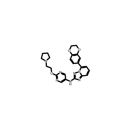 c1cc(-c2ccc3c(c2)OCCO3)n2nc(Nc3cnc(OCCN4CCCC4)nc3)nc2c1